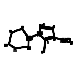 Cc1c([N+](=O)[O-])cnn1N1CCCCC1